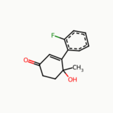 CC1(O)CCC(=O)C=C1c1ccccc1F